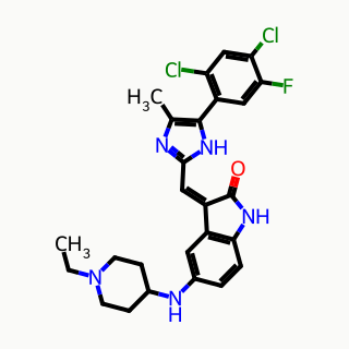 CCN1CCC(Nc2ccc3c(c2)/C(=C/c2nc(C)c(-c4cc(F)c(Cl)cc4Cl)[nH]2)C(=O)N3)CC1